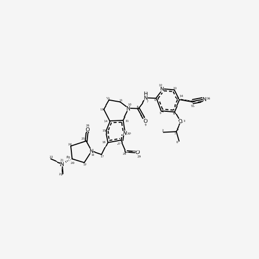 CC(C)Oc1cc(NC(=O)N2CCCc3cc(CN4C[C@H](N(C)C)CC4=O)c(C=O)nc32)ncc1C#N